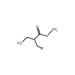 CCC(CBr)C(=O)OC